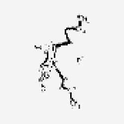 CCO.COCC[O][Al+][O]CCOC.[H-].[H-].[Na+]